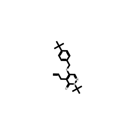 C=CCc1c(SCc2ccc(C(C)(C)C)cc2)cnn(C(C)(C)C)c1=O